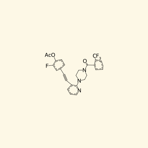 CC(=O)Oc1ccc(C#Cc2cccnc2N2CCN(C(=O)c3ccccc3C(F)(F)F)CC2)cc1F